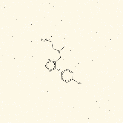 CN(CCN)Cc1ocnc1-c1ccc(C#N)cc1